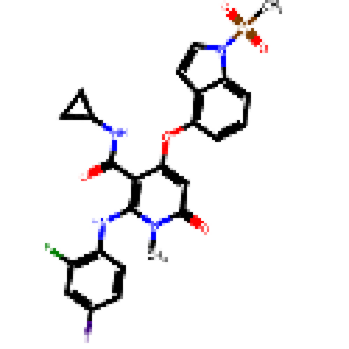 Cn1c(Nc2ccc(I)cc2F)c(C(=O)NC2CC2)c(Oc2cccc3c2ccn3S(C)(=O)=O)cc1=O